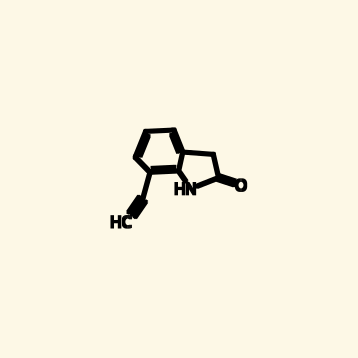 C#Cc1cccc2c1NC(=O)C2